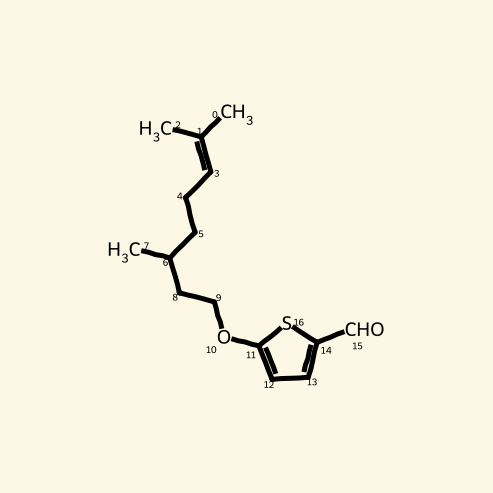 CC(C)=CCCC(C)CCOc1ccc(C=O)s1